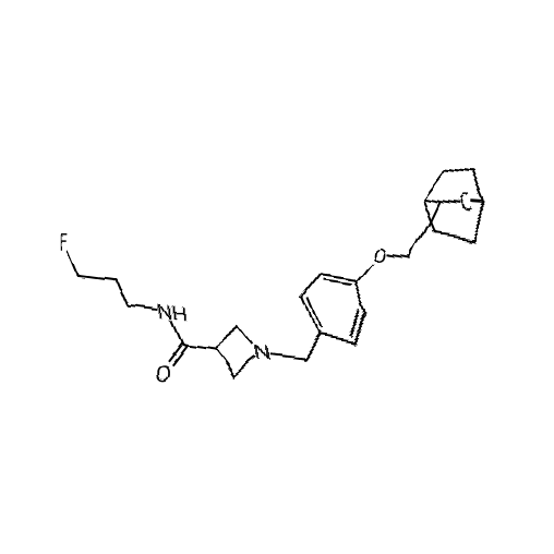 O=C(NCCCF)C1CN(Cc2ccc(OCC3CC4CCC3CC4)cc2)C1